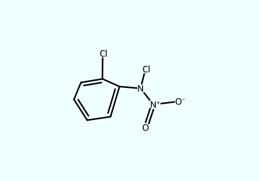 O=[N+]([O-])N(Cl)c1ccccc1Cl